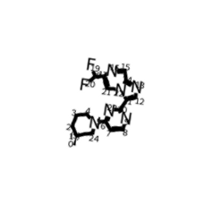 C[C@H]1CCCN(c2ccnc(-c3cnc4cnc(C(F)F)cn34)n2)C1